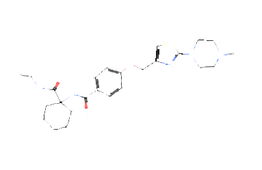 N#CCNC(=O)C1(NC(=O)c2ccc(OCc3csc(N4CCN(C(=O)O)CC4)n3)cc2)CCCCC1